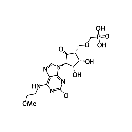 COCCNc1nc(Cl)nc2c1ncn2[C@H]1C(=O)[C@H](COCP(=O)(O)O)[C@H](O)[C@@H]1O